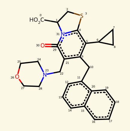 O=C(O)C1CSc2c(C3CC3)c(Cc3cccc4ccccc34)c(CN3CCOCC3)c(=O)n21